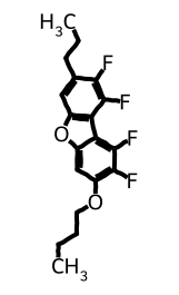 CCCCOc1cc2oc3cc(CCC)c(F)c(F)c3c2c(F)c1F